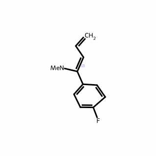 C=C/C=C(\NC)c1ccc(F)cc1